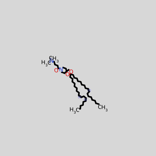 CCCCC/C=C\C/C=C\CCCCCCCCC1(CCCCCCCC/C=C\CCCCCCCC)OCC2(CCN(C(=O)CCCN(C)C)CC2)O1